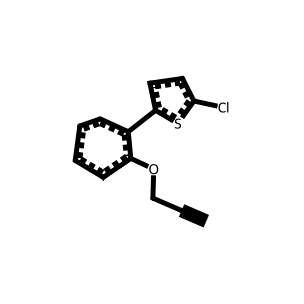 C#CCOc1[c]cccc1-c1ccc(Cl)s1